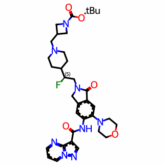 CC(C)(C)OC(=O)N1CC(CN2CCC([C@H](F)CN3Cc4cc(NC(=O)c5cnn6cccnc56)c(N5CCOCC5)cc4C3=O)CC2)C1